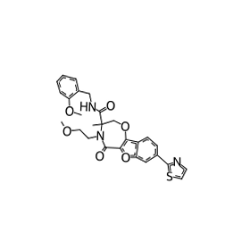 COCCN1C(=O)c2oc3cc(-c4nccs4)ccc3c2OCC1(C)C(=O)NCc1ccccc1OC